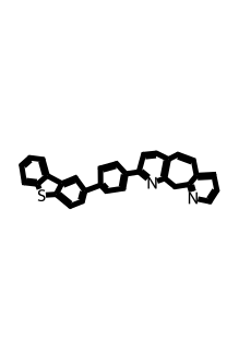 C1=Cc2ccc(-c3ccc(-c4ccc5sc6ccccc6c5c4)cc3)nc2Cc2ncccc21